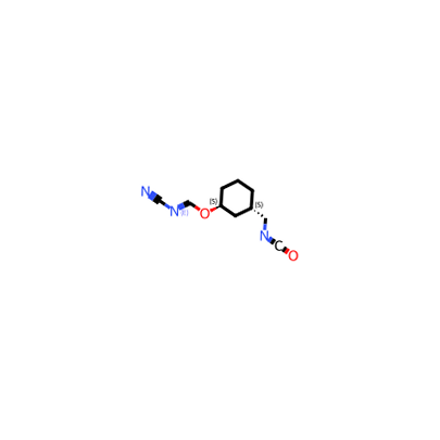 N#C/N=C/O[C@H]1CCC[C@H](CN=C=O)C1